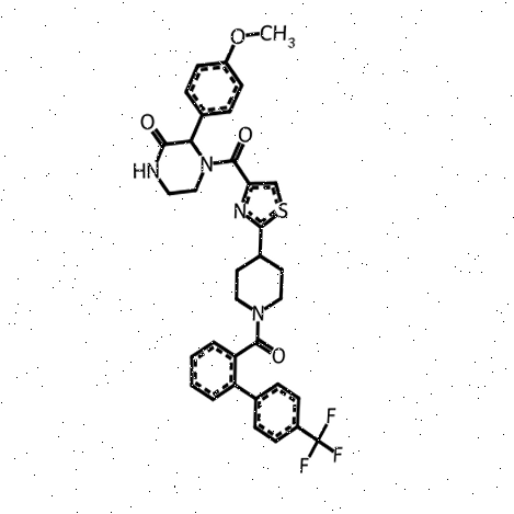 COc1ccc(C2C(=O)NCCN2C(=O)c2csc(C3CCN(C(=O)c4ccccc4-c4ccc(C(F)(F)F)cc4)CC3)n2)cc1